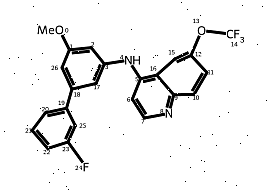 COc1cc(Nc2ccnc3ccc(OC(F)(F)F)cc23)cc(-c2cccc(F)c2)c1